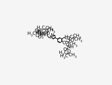 CC(C)(C)OC(=O)NC[C@@H](Cn1cc(-c2ccc3c(c2)CC[C@H]([C@](C)(ONC(=O)OC(C)(C)C)C(=O)OC(C)(C)C)O3)cn1)O[Si](C)(C)C(C)(C)C